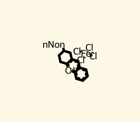 CCCCCCCCCC1CCc2[o+]c3ccccc3cc2C1.[Cl][Fe-]([Cl])([Cl])[Cl]